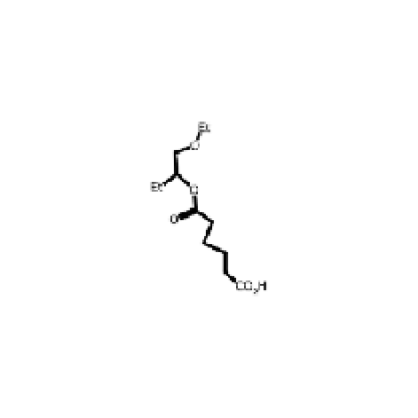 CCOCC(CC)OC(=O)CCCCC(=O)O